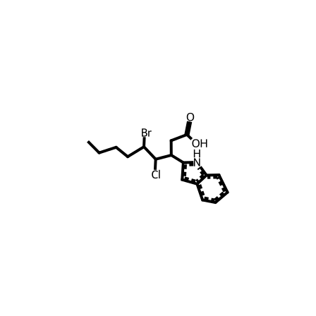 CCCCC(Br)C(Cl)C(CC(=O)O)c1cc2ccccc2[nH]1